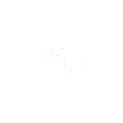 CCCC[C@@](C)(O)C(C)(C)CC=C(C)C